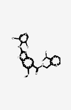 CCOc1cc2[nH]c(Nc3c(Cl)cncc3Cl)nc2cc1C(=O)NCc1ncccc1C(F)F